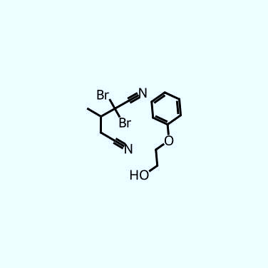 CC(CC#N)C(Br)(Br)C#N.OCCOc1ccccc1